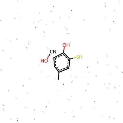 Cc1ccc(O)c(S)c1.N#CO